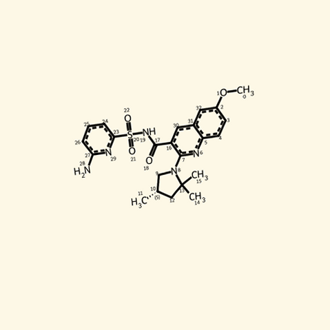 COc1ccc2nc(N3C[C@@H](C)CC3(C)C)c(C(=O)NS(=O)(=O)c3cccc(N)n3)cc2c1